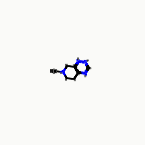 CN1CCc2ncnnc2C1